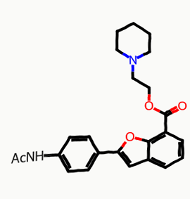 CC(=O)Nc1ccc(-c2cc3cccc(C(=O)OCCN4CCCCC4)c3o2)cc1